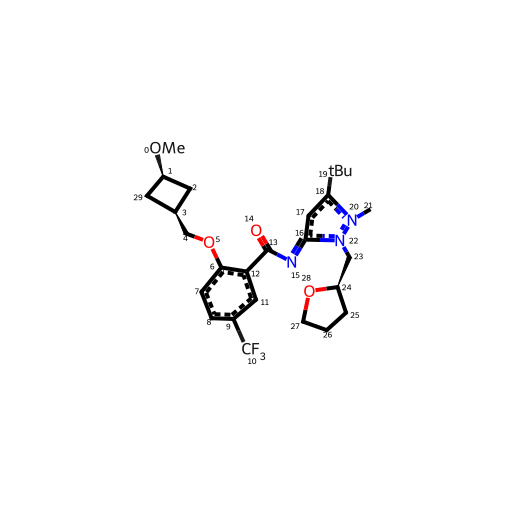 CO[C@H]1C[C@@H](COc2ccc(C(F)(F)F)cc2C(=O)/N=c2\cc(C(C)(C)C)n(C)n2C[C@H]2CCCO2)C1